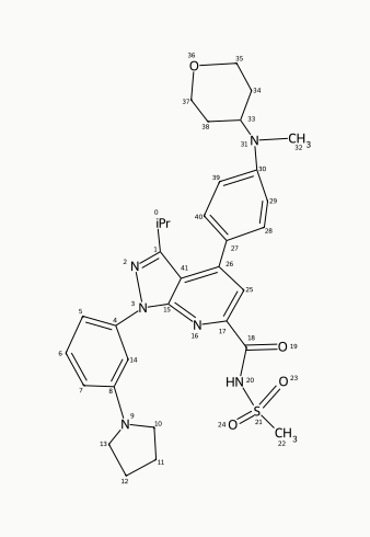 CC(C)c1nn(-c2cccc(N3CCCC3)c2)c2nc(C(=O)NS(C)(=O)=O)cc(-c3ccc(N(C)C4CCOCC4)cc3)c12